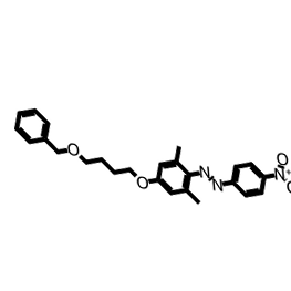 Cc1cc(OCCCCOCc2ccccc2)cc(C)c1N=Nc1ccc([N+](=O)[O-])cc1